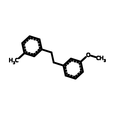 COc1cccc(CCc2cccc(C)c2)c1